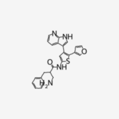 NCC(Cc1ccccc1)C(=O)Nc1cc(-c2c[nH]c3ncccc23)c(-c2ccoc2)s1